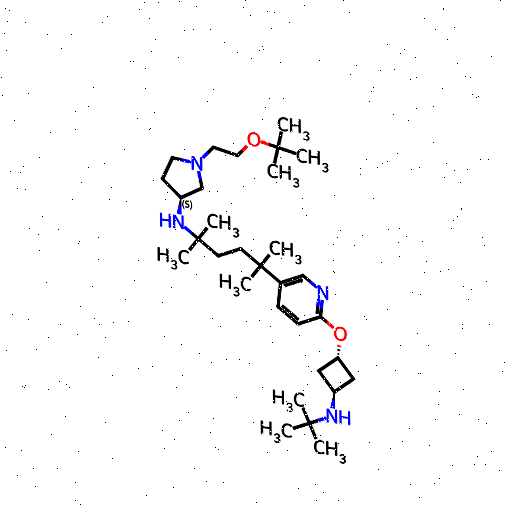 CC(C)(CCC(C)(C)c1ccc(O[C@H]2C[C@H](NC(C)(C)C)C2)nc1)N[C@H]1CCN(CCOC(C)(C)C)C1